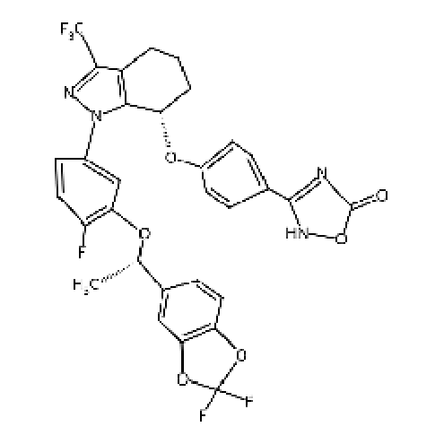 C[C@H](Oc1cc(-n2nc(C(F)(F)F)c3c2[C@@H](Oc2ccc(-c4nc(=O)o[nH]4)cc2)CCC3)ccc1F)c1ccc2c(c1)OC(F)(F)O2